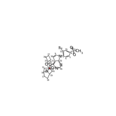 CS(=O)(=O)c1ccc(-n2ccc3c(OC4CC5CCC(C4)N5C(=O)OC4CCC4)ncnc32)c(F)c1